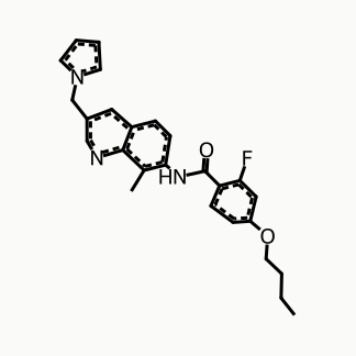 CCCCOc1ccc(C(=O)Nc2ccc3cc(Cn4cccc4)cnc3c2C)c(F)c1